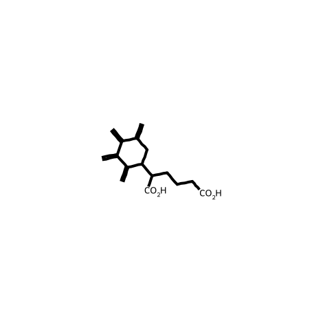 C=C1CC(C(CCCC(=O)O)C(=O)O)C(=C)C(=C)C1=C